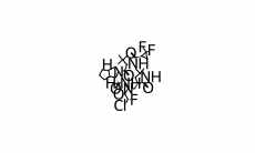 CC1(C)C[C@H](CN(NC(=O)[C@@H]2[C@H]3CCC[C@H]3CN2C(=O)[C@@H](NC(=O)[C@@H]2CC2(F)F)C(C)(C)C)C(=O)[C@H](F)Cl)C(=O)N1